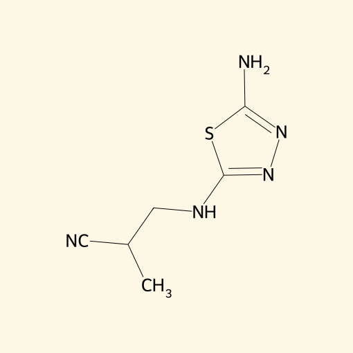 CC(C#N)CNc1nnc(N)s1